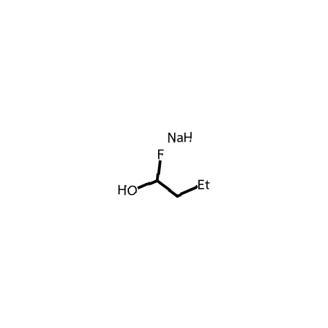 CCCC(O)F.[NaH]